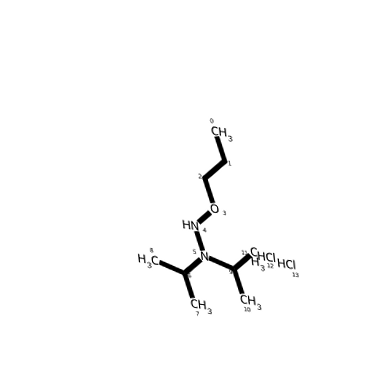 CCCONN(C(C)C)C(C)C.Cl.Cl